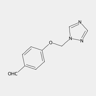 O=Cc1ccc(OCn2cncn2)cc1